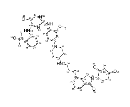 COc1cc(N2CCC(NCCOc3cccc4c3CN(C3CCC(=O)NC3=O)C4=O)CC2)ccc1Nc1ncc(Cl)c(Nc2ccccc2P(C)(C)=O)n1